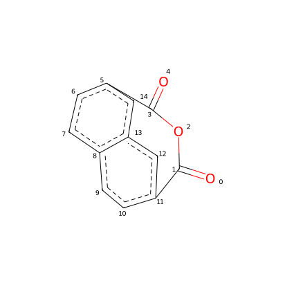 O=C1OC(=O)c2ccc3ccc1cc3c2